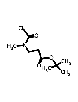 CN(CCC(=O)OC(C)(C)C)C(=O)Cl